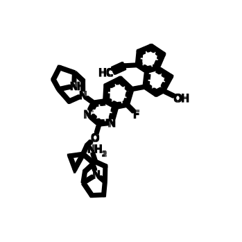 C#Cc1cccc2cc(O)cc(-c3ccc4c(N5CC6CCC(C5)N6)nc(OCC5(CN6C7CCC6CC(N)C7)CC5)nc4c3F)c12